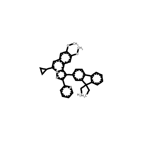 CCC1(CC)c2ccccc2-c2ccc(-c3c(-c4ccccn4)nn4c(C5CC5)cc5cc(OC)c(OC)cc5c34)cc21